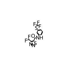 O=C(Nc1cccc(SC(F)(F)F)c1)c1snnc1C(F)F